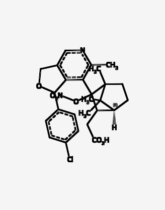 Cc1ncc2c(c1C1(O[N+](=O)[O-])C(CC(=O)O)[C@@H]3CCC1(C)C3(C)C)C(c1ccc(Cl)cc1)OC2